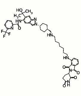 CC(C)(O)c1cc2nn([C@H]3CC[C@H](CNCCCCCCCNc4cccc5c4C(=O)N(C4CCC(=O)NC4=O)C5=O)CC3)cc2cc1NC(=O)c1cccc(C(F)(F)F)n1